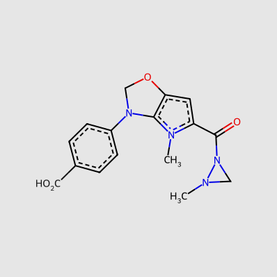 CN1CN1C(=O)c1cc2c(n1C)N(c1ccc(C(=O)O)cc1)CO2